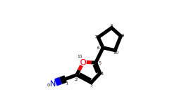 N#Cc1ccc(C2CCCC2)o1